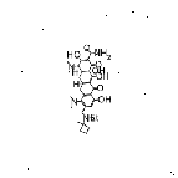 CCN(Cc1cc(O)c2c(c1N(C)C)C[C@H]1C[C@H]3[C@H](N(C)C)C(O)=C(C(N)=O)C(=O)[C@@]3(O)C(O)=C1C2=O)C1(C)CCC1